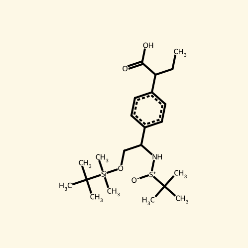 CCC(C(=O)O)c1ccc(C(CO[Si](C)(C)C(C)(C)C)N[S+]([O-])C(C)(C)C)cc1